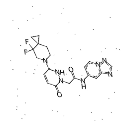 O=C(CN1NC(N2CCC3(CC3)C(F)(F)C2)C=CC1=O)Nc1ccn2ncnc2c1